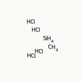 C.Cl.Cl.Cl.Cl.[SiH4]